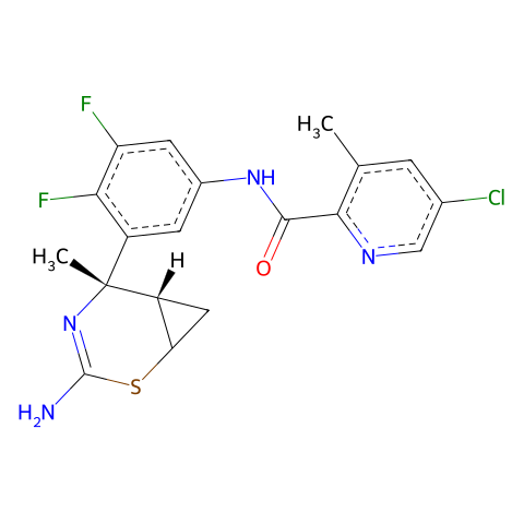 Cc1cc(Cl)cnc1C(=O)Nc1cc(F)c(F)c([C@@]2(C)N=C(N)SC3C[C@H]32)c1